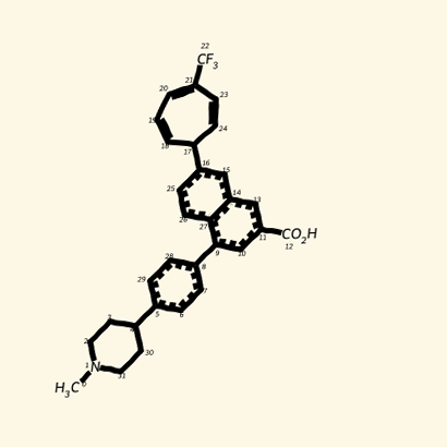 CN1CCC(c2ccc(-c3cc(C(=O)O)cc4cc(C5C=CC=C(C(F)(F)F)C=C5)ccc34)cc2)CC1